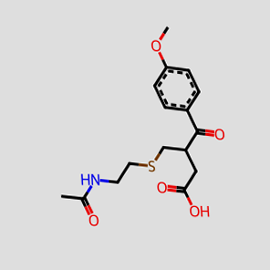 COc1ccc(C(=O)C(CSCCNC(C)=O)CC(=O)O)cc1